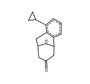 O=C1CC2Cc3c(C4CC4)cccc3C(C1)N2